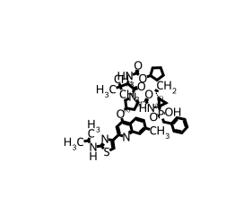 C=C[C@@H]1C[C@]1(NC(=O)[C@@H]1C[C@@H](Oc2cc(-c3csc(NC(C)C)n3)nc3cc(C)ccc23)CN1C(=O)[C@@H](NC(=O)OC1CCCC1)C(C)(C)C)P(=O)(O)Cc1ccccc1